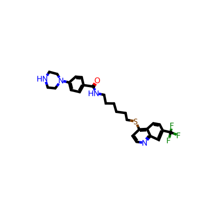 O=C(NCCCCCCSc1ccnc2cc(C(F)(F)F)ccc12)c1ccc(N2CCNCC2)cc1